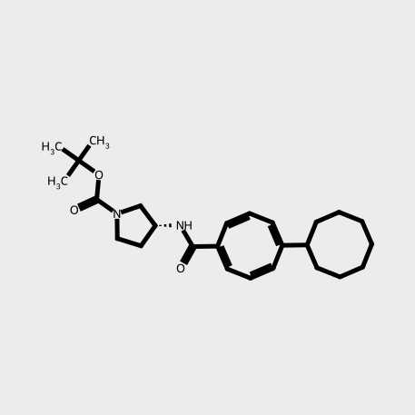 CC(C)(C)OC(=O)N1CC[C@@H](NC(=O)C2=C/C=C\C(C3CCCCCCC3)=C/C=C\2)C1